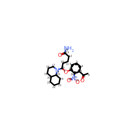 CC(=O)c1cccc(OC(CCCC(N)=O)N2CCCC3CCCCC32)c1[N+](=O)[O-]